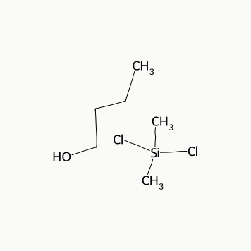 CCCCO.C[Si](C)(Cl)Cl